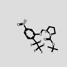 CC(C)(C)OC(=O)N1CCC[C@@H]1COc1cc([N+](=O)[O-])ccc1C(F)(F)C(F)(F)F